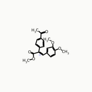 COC(=O)/C(=C/c1ccc(OC)c(OC)c1)c1ccc(C(C)=O)cc1